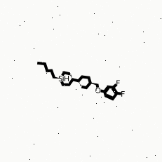 CCCCC[Si@H]1CC[C@H]([C@H]2CC[C@H](COc3ccc(F)c(F)c3)CC2)CC1